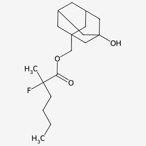 CCCCC(C)(F)C(=O)OCC12CC3CC(CC(O)(C3)C1)C2